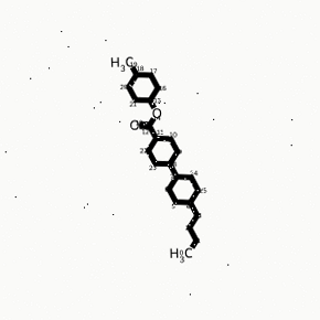 CCCCC1CCC(C2CCC(C(=O)OC3CCC(C)CC3)CC2)CC1